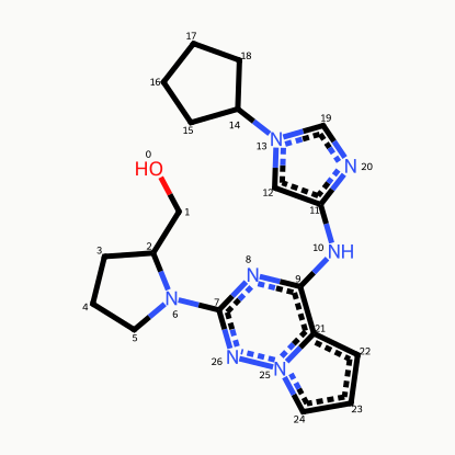 OCC1CCCN1c1nc(Nc2cn(C3CCCC3)cn2)c2cccn2n1